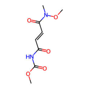 COC(=O)NC(=O)/C=C/C(=O)N(C)OC